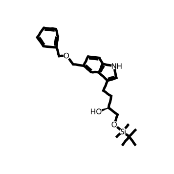 CC(C)(C)[Si](C)(C)OC[C@@H](O)CCc1c[nH]c2ccc(COCc3ccccc3)cc12